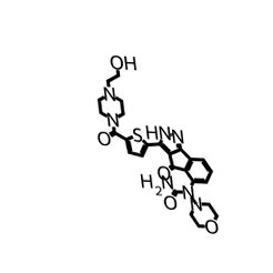 NC(=O)N(c1cccc2c1C(=O)c1c-2n[nH]c1-c1ccc(C(=O)N2CCN(CCO)CC2)s1)N1CCOCC1